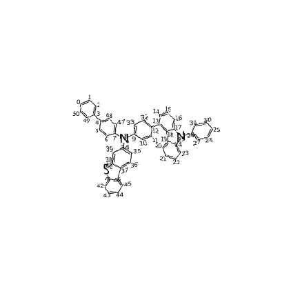 c1ccc(-c2ccc(N(c3ccc(-c4cccc5c4c4ccccc4n5-c4ccccc4)cc3)c3ccc4c(c3)sc3ccccc34)cc2)cc1